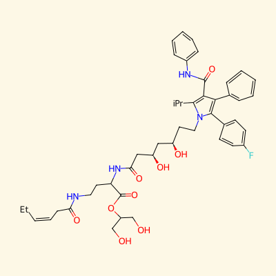 CC/C=C\CC(=O)NCCC(NC(=O)C[C@H](O)C[C@H](O)CCn1c(-c2ccc(F)cc2)c(-c2ccccc2)c(C(=O)Nc2ccccc2)c1C(C)C)C(=O)OC(CO)CO